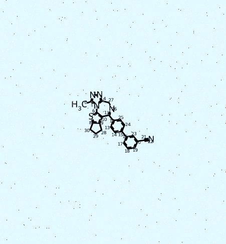 Cc1nnc2n1-c1sc3c(c1C(c1ccc(-c4cccc(C#N)c4)cc1)=NC2)CCC3